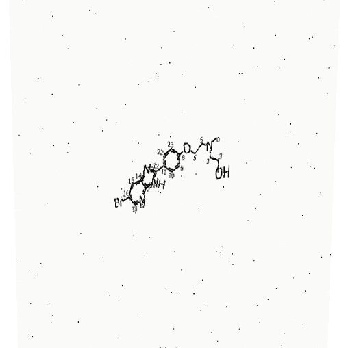 CN(CCO)CCOc1ccc(-c2nc3cc(Br)cnc3[nH]2)cc1